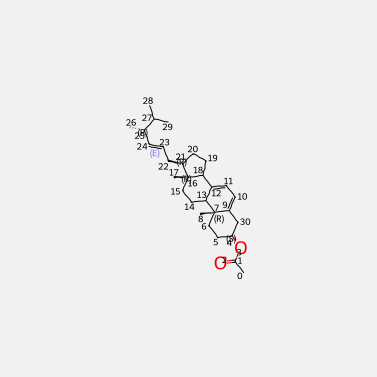 CC(=O)O[C@H]1CC[C@@]2(C)C(=CC=C3C2CC[C@@]2(C)C3CC[C@@H]2C/C=C/[C@H](C)C(C)C)C1